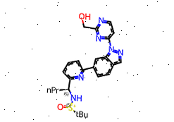 CCC[C@H](N[S@+]([O-])C(C)(C)C)c1cccc(-c2ccc3cnn(-c4ccnc(CO)n4)c3c2)n1